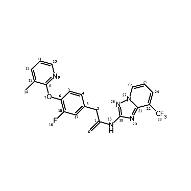 C=C(Cc1ccc(Oc2ncccc2C)c(F)c1)Nc1nc2c(C(F)(F)F)cccn2n1